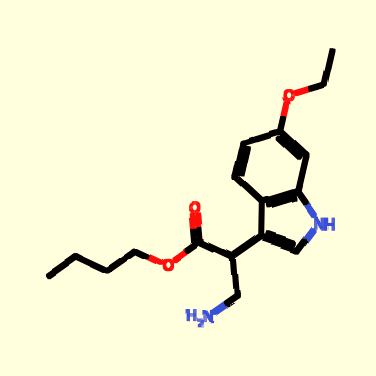 CCCCOC(=O)C(CN)c1c[nH]c2cc(OCC)ccc12